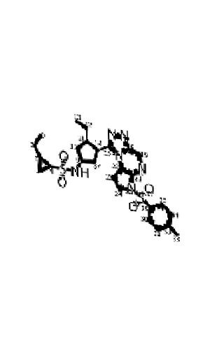 CCC1CC1S(=O)(=O)N[C@H]1C[C@@H](CC)[C@@H](c2nnc3cnc4c(ccn4S(=O)(=O)c4ccc(C)cc4)n23)C1